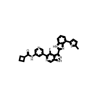 Cc1ccc(-c2cccc3[nH]c(-c4n[nH]c5cnc(-c6cncc(NC(=O)C7CCC7)c6)c(F)c45)nc23)s1